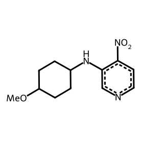 COC1CCC(Nc2cnccc2[N+](=O)[O-])CC1